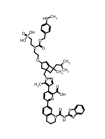 CNc1ccc(COC(=O)N(CCOC2C=C3C(C)(CC(C)C)CC3(Cn3ncc(-c4ccc(-c5ccc6c(c5)N(C(=O)Nc5nc7ccccc7s5)CCC6)nc4C(=O)O)c3C)C2)CCP(=O)(O)O)cc1